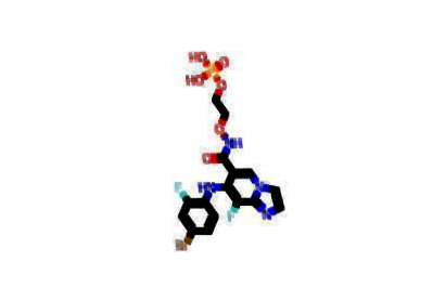 O=C(NOCCOP(=O)(O)O)c1cn2ccnc2c(F)c1Nc1ccc(Br)cc1F